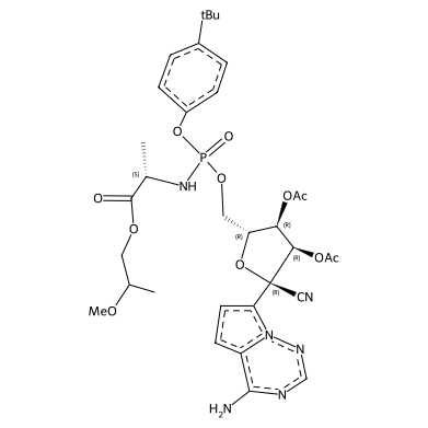 COC(C)COC(=O)[C@H](C)NP(=O)(OC[C@H]1O[C@@](C#N)(c2ccc3c(N)ncnn23)[C@H](OC(C)=O)[C@@H]1OC(C)=O)Oc1ccc(C(C)(C)C)cc1